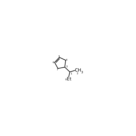 [CH2]CC(C)C1CC=CC1